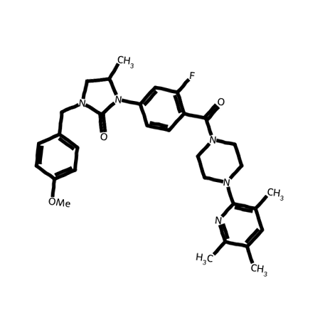 COc1ccc(CN2CC(C)N(c3ccc(C(=O)N4CCN(c5nc(C)c(C)cc5C)CC4)c(F)c3)C2=O)cc1